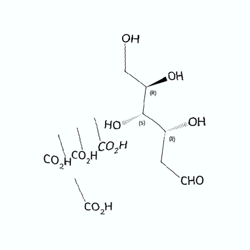 CC(=O)O.CC(=O)O.CC(=O)O.CC(=O)O.O=CC[C@@H](O)[C@H](O)[C@H](O)CO